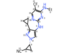 CCNc1nc(Nc2cn([C@@H]3CC3C#N)nc2C2CC2)ncc1C(F)(F)F